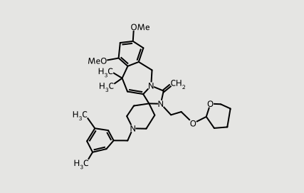 C=C1N2Cc3cc(OC)cc(OC)c3C(C)(C)C=C2C2(CCN(Cc3cc(C)cc(C)c3)CC2)N1CCOC1CCCCO1